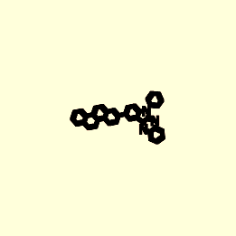 c1ccc(-n2c3ccc(-c4ccc5c(ccc6c7ccccc7ccc56)c4)cc3c3nc4ccccc4nc32)cc1